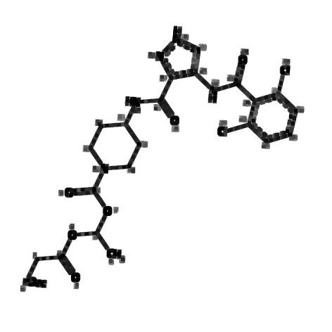 CCCCCCCCCCCC(=O)OC(C)OC(=O)N1CCC(NC(=O)c2n[nH]cc2NC(=O)c2c(Cl)cccc2Cl)CC1